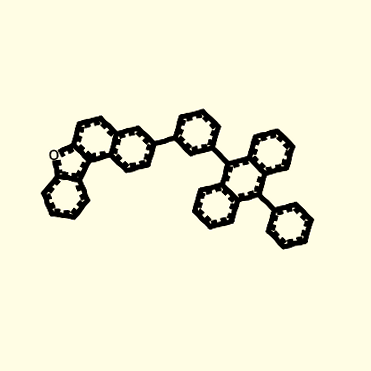 c1ccc(-c2c3ccccc3c(-c3cccc(-c4ccc5c(ccc6oc7ccccc7c65)c4)c3)c3ccccc23)cc1